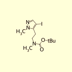 CN(CCc1c(I)cnn1C)C(=O)OC(C)(C)C